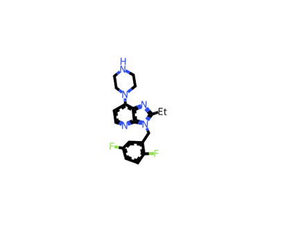 CCc1nc2c(N3CCNCC3)ccnc2n1Cc1cc(F)ccc1F